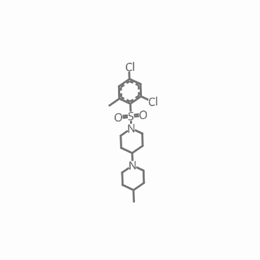 Cc1cc(Cl)cc(Cl)c1S(=O)(=O)N1CCC(N2CCC(C)CC2)CC1